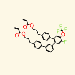 C=CC(=O)OCCCc1ccc(-c2cccc(-c3cc(F)c(OC(F)(F)F)cc3-c3ccc(CCCOC(=O)C=C)cc3)c2)cc1